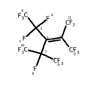 FC(F)(F)C(=C(C(F)(F)C(F)(F)F)C(F)(C(F)(F)F)C(F)(F)F)C(F)(F)F